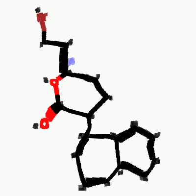 O=C1O/C(=C\CBr)CCC1c1cccc2ccccc12